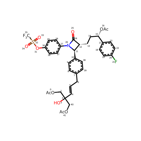 CC(=O)OCC(O)(C=CCc1ccc([C@@H]2[C@@H](CC[C@H](OC(C)=O)c3ccc(F)cc3)C(=O)N2c2ccc(OS(=O)(=O)C(F)(F)F)cc2)cc1)COC(C)=O